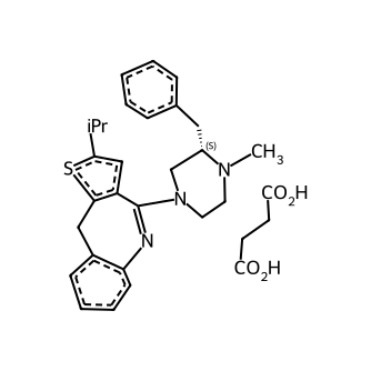 CC(C)c1cc2c(s1)Cc1ccccc1N=C2N1CCN(C)[C@@H](Cc2ccccc2)C1.O=C(O)CCC(=O)O